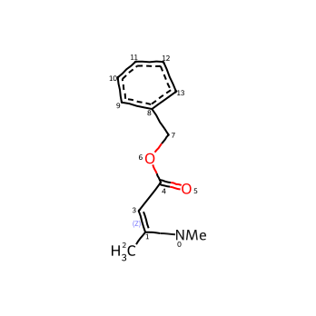 CN/C(C)=C\C(=O)OCc1ccccc1